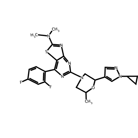 CC1CN(c2nc(-c3ccc(F)cc3F)c3sc(N(C)C)nc3n2)CC(c2cnn(C3CC3)c2)O1